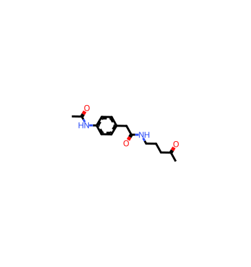 CC(=O)CCCNC(=O)Cc1ccc(NC(C)=O)cc1